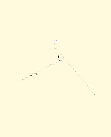 CCCCCCCCCC(=O)OCCCCCCCCOC1=CCC(COC(=O)CCN(C)C)=CC(OCCCCCCCCOC(=O)CCCCCCCCC)=C1